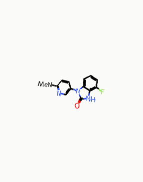 CNc1ccc(-n2c(=O)[nH]c3c(F)cccc32)cn1